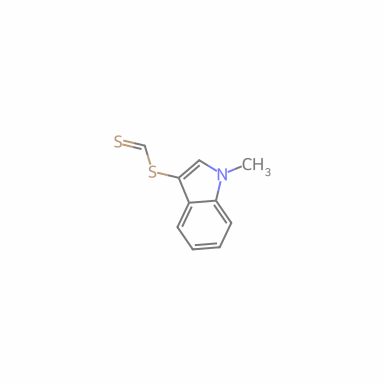 Cn1cc(SC=S)c2ccccc21